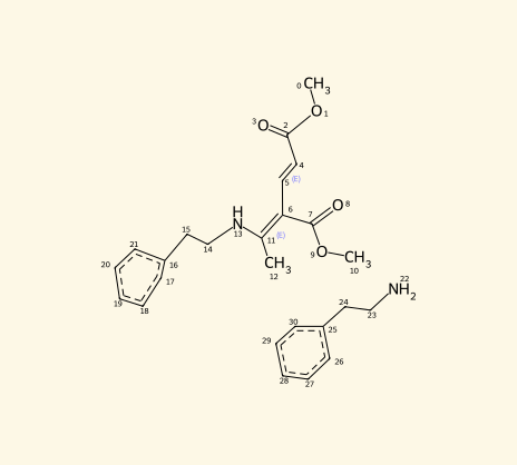 COC(=O)/C=C/C(C(=O)OC)=C(/C)NCCc1ccccc1.NCCc1ccccc1